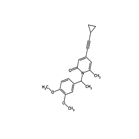 COc1ccc(C(C)n2c(C)cc(C#CC3CC3)cc2=O)cc1OC